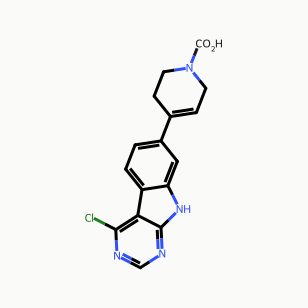 O=C(O)N1CC=C(c2ccc3c(c2)[nH]c2ncnc(Cl)c23)CC1